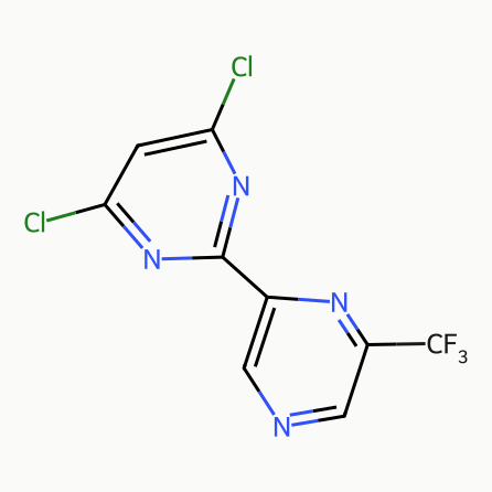 FC(F)(F)c1cncc(-c2nc(Cl)cc(Cl)n2)n1